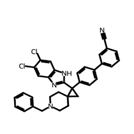 N#Cc1cccc(-c2ccc(C3(c4nc5cc(Cl)c(Cl)cc5[nH]4)CC34CCN(Cc3ccccc3)CC4)cc2)c1